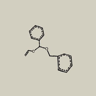 C=COC(OCc1ccccc1)c1ccccc1